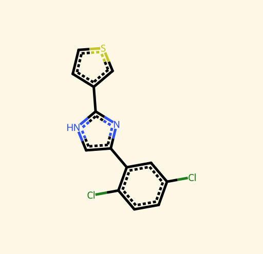 Clc1ccc(Cl)c(-c2c[nH]c(-c3ccsc3)n2)c1